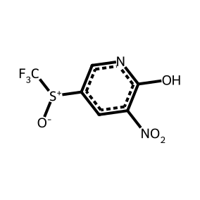 O=[N+]([O-])c1cc([S+]([O-])C(F)(F)F)cnc1O